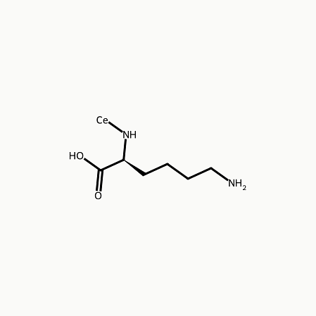 NCCCC[C@H]([NH][Ce])C(=O)O